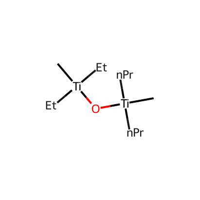 CC[CH2][Ti]([CH3])([CH2]CC)[O][Ti]([CH3])([CH2]C)[CH2]C